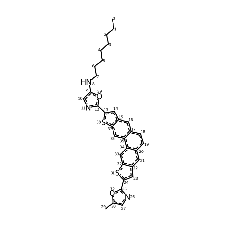 CCCCCCCCNc1cnc(-c2cc3cc4ccc5cc6cc(-c7ncc(C)o7)sc6cc5c4cc3s2)o1